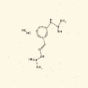 Cl.Cl.N=C(N)NN=Cc1cccc(NC(=N)N)c1